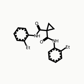 CCc1ccccc1NC(=O)C1(C(=O)Nc2ccccc2CC)CC1